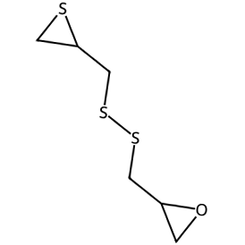 C1OC1CSSCC1CS1